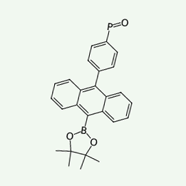 CC1(C)OB(c2c3ccccc3c(-c3ccc(P=O)cc3)c3ccccc23)OC1(C)C